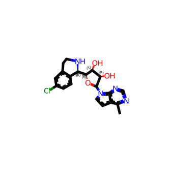 Cc1ncnc2c1ccn2C1O[C@H]([C@@H]2NCCc3cc(Cl)ccc32)[C@@H](O)[C@H]1O